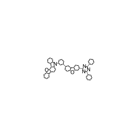 c1ccc(-c2nc(-c3ccccc3)nc(-c3ccc4c(c3)oc3ccc(-c5cccc(-n6c7ccccc7c7c8oc9ccccc9c8ccc76)c5)cc34)n2)cc1